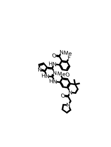 CNC(=O)c1c(F)cccc1Nc1nc(Nc2cc3c(cc2OC)C(C)(C)CCN3C(=O)CN2CCCC2)[nH]c2nccc1-2